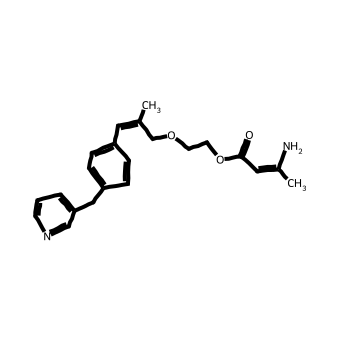 CC(N)=CC(=O)OCCOCC(C)=Cc1ccc(Cc2cccnc2)cc1